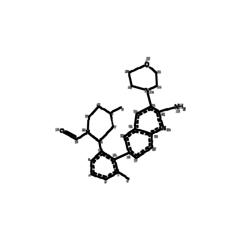 Cc1cccc(C2CC(C)CCN2C=O)c1-c1ccc2nc(N)c(N3CCOCC3)cc2c1